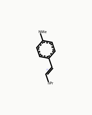 CCC/C=C/c1ccc(NC)cc1